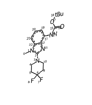 Cn1c(N2CCC(F)(F)CC2)nc2c(NC(=O)OC(C)(C)C)cccc21